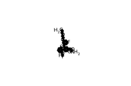 C=CCOCCOc1cc(F)cc(C2Oc3cccc(OC(F)F)c3-c3ccc(CS(N)(=O)=O)cc32)c1